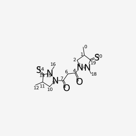 CC1CN(C(=O)CC(=O)N2CC(C)C(=S)N2C)N(C)C1=S